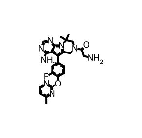 Cc1ccnc(Oc2ccc(-c3c4n(c5ncnc(N)c35)C(C)(C)CN(C(=O)CN)C4)cc2F)n1